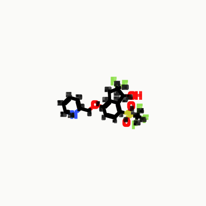 O=S(=O)(c1ccc(OCc2ccccn2)c2c1C(O)C(F)(F)C2)C(F)(F)F